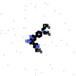 CCCN(C)[C@H]1CC[C@@H](c2cnc3[nH]cc(-c4cnn(C)c4)c3c2)CC1